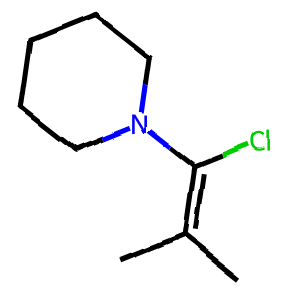 CC(C)=C(Cl)N1CCCCC1